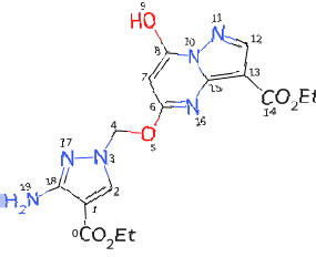 CCOC(=O)c1cn(COc2cc(O)n3ncc(C(=O)OCC)c3n2)nc1N